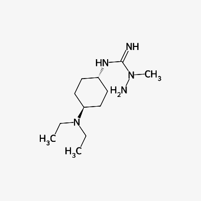 CCN(CC)[C@H]1CC[C@H](NC(=N)N(C)N)CC1